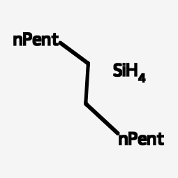 CCCCCCCCCCCC.[SiH4]